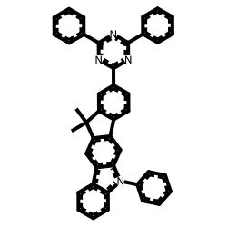 CC1(C)c2cc(-c3nc(-c4ccccc4)nc(-c4ccccc4)n3)ccc2-c2cc3c(cc21)c1ccccc1n3-c1ccccc1